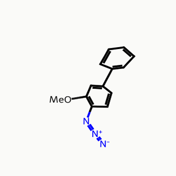 COc1cc(-c2ccccc2)ccc1N=[N+]=[N-]